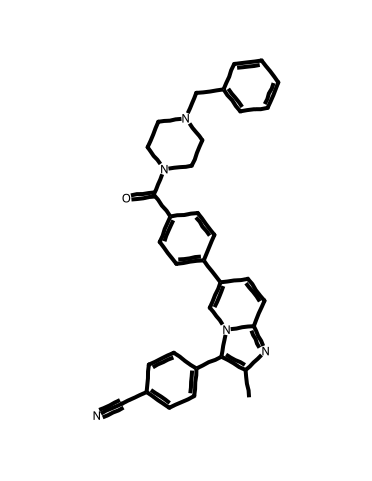 Cc1nc2ccc(-c3ccc(C(=O)N4CCN(Cc5ccccc5)CC4)cc3)cn2c1-c1ccc(C#N)cc1